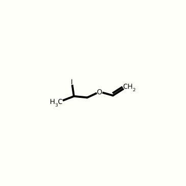 C=COCC(C)I